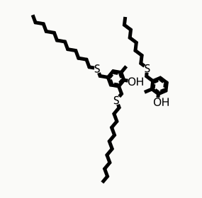 CCCCCCCCCCCCSCc1cc(C)c(O)c(CSCCCCCCCCCCCC)c1.CCCCCCCCSCc1cccc(O)c1C